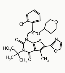 Cc1c(-c2ncco2)sc2c1c(=O)n(C(C)(C)C(=O)O)c(=O)n2C[C@H](OC1CCOCC1)c1ccccc1Cl